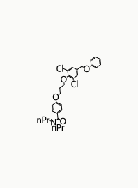 CCCN(CCC)C(=O)c1ccc(OCCCOc2c(Cl)cc(COc3ccccc3)cc2Cl)cc1